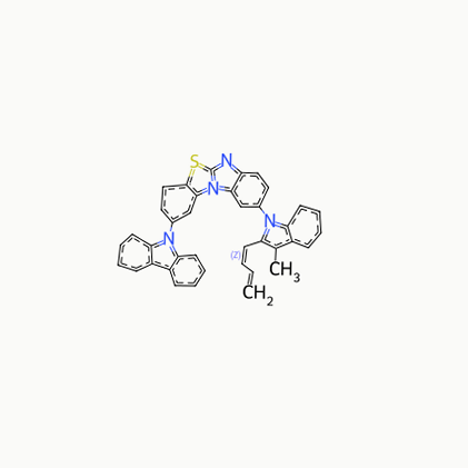 C=C/C=C\c1c(C)c2ccccc2n1-c1ccc2nc3sc4ccc(-n5c6ccccc6c6ccccc65)cc4n3c2c1